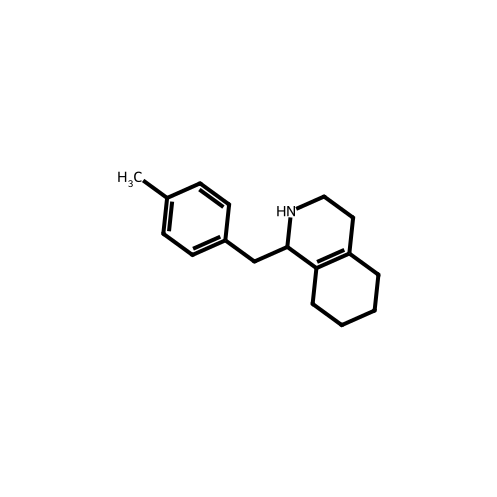 Cc1ccc(CC2NCCC3=C2CCCC3)cc1